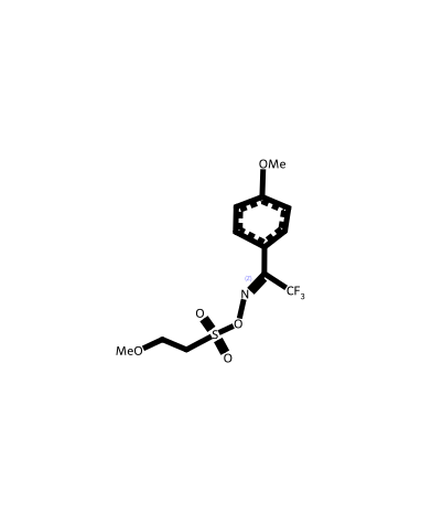 COCCS(=O)(=O)O/N=C(/c1ccc(OC)cc1)C(F)(F)F